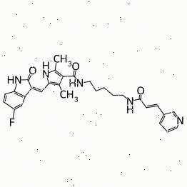 Cc1[nH]c(C=C2C(=O)Nc3ccc(F)cc32)c(C)c1C(=O)NCCCCCNC(=O)/C=C/c1cccnc1